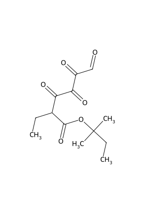 CCC(C(=O)OC(C)(C)CC)C(=O)C(=O)C(=O)C=O